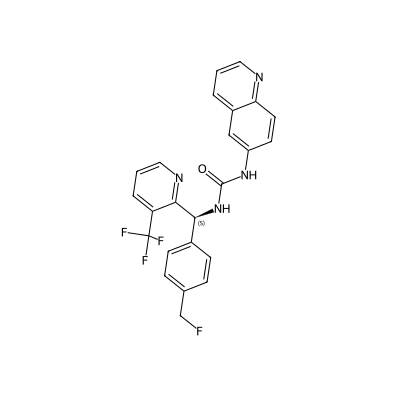 O=C(Nc1ccc2ncccc2c1)N[C@@H](c1ccc(CF)cc1)c1ncccc1C(F)(F)F